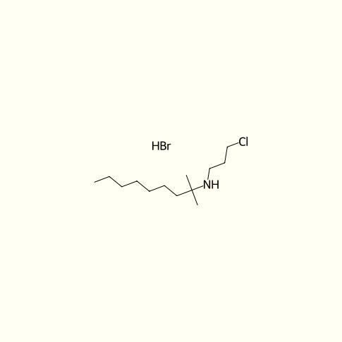 Br.CCCCCCCC(C)(C)NCCCCl